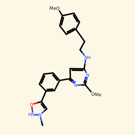 COc1ccc(CCNc2cc(-c3cccc(C4=CN(C)NO4)c3)nc(OC)n2)cc1